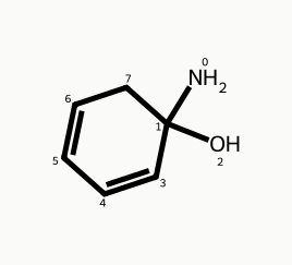 NC1(O)C=CC=CC1